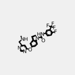 CNCc1cc(Oc2ccc3c(ccn3C(=O)Nc3ccc(F)c(C(F)(F)F)c3)c2)ncn1